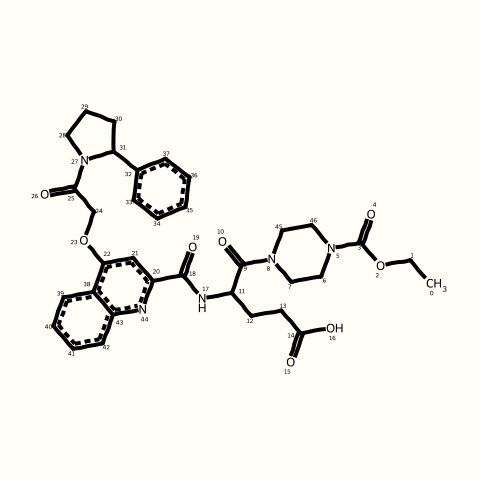 CCOC(=O)N1CCN(C(=O)C(CCC(=O)O)NC(=O)c2cc(OCC(=O)N3CCCC3c3ccccc3)c3ccccc3n2)CC1